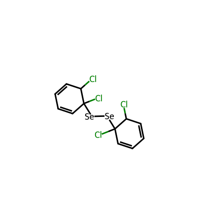 ClC1C=CC=CC1(Cl)[Se][Se]C1(Cl)C=CC=CC1Cl